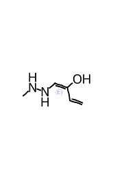 C=C/C(O)=C\NNC